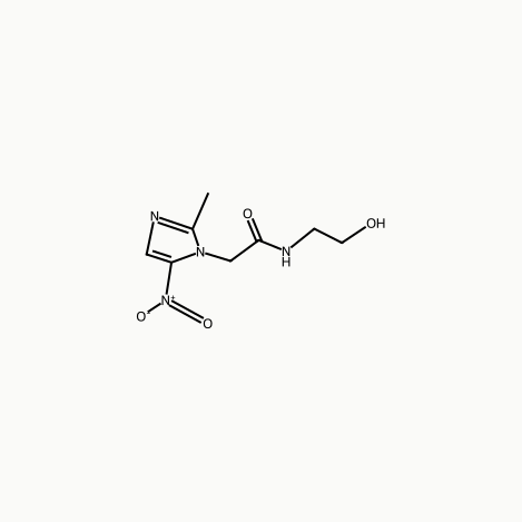 Cc1ncc([N+](=O)[O-])n1CC(=O)NCCO